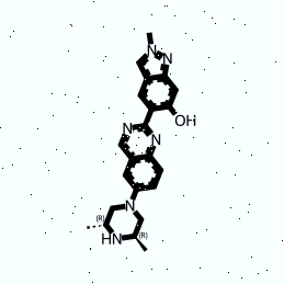 C[C@@H]1CN(c2ccc3nc(-c4cc5cn(C)nc5cc4O)ncc3c2)C[C@@H](C)N1